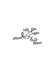 CCCCCCCCCC(=O)OCC(C)(C)COC(=O)CCCCCCCCC.OCC(O)CO